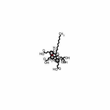 CCCCCCCCCCCCC(c1c(C)cc(CCC(=O)O)cc1C)C(C(=S)OCC(CO)(CO)CO)(c1c(C)cc(CCC(=O)O)cc1C)c1c(C)cc(CCC(=O)O)cc1C